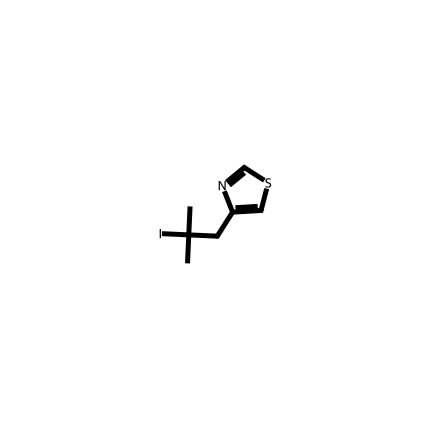 CC(C)(I)Cc1cscn1